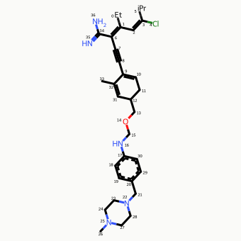 CCC(/C=C(/Cl)C(C)C)=C(/C#CC1=CCC(COCNc2ccc(CN3CCN(C)CC3)cc2)C=C1C)C(=N)N